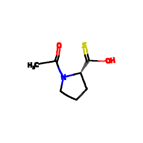 CC(=O)N1CCC[C@H]1C(O)=S